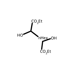 CCCCCCC(O)C(=O)OCC.CCOC(=O)CO